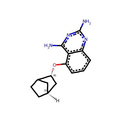 Nc1nc(N)c2c(O[C@@H]3C[C@H]4CCC3C4)cccc2n1